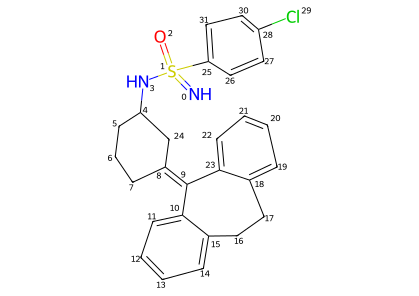 N=S(=O)(NC1CCCC(=C2c3ccccc3CCc3ccccc32)C1)c1ccc(Cl)cc1